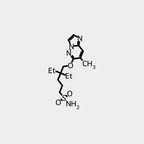 CCC(CC)(CCCS(N)(=O)=O)COc1nn2ccnc2cc1C